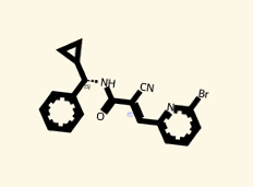 N#C/C(=C\c1cccc(Br)n1)C(=O)N[C@H](c1ccccc1)C1CC1